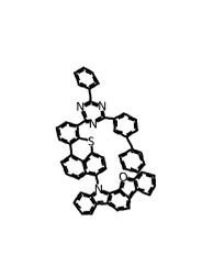 c1ccc(-c2cccc(-c3nc(-c4ccccc4)nc(-c4cccc5c4Sc4ccc(-n6c7ccccc7c7ccc8c9ccccc9oc8c76)c6cccc-5c46)n3)c2)cc1